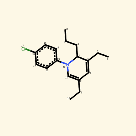 CCCC1C(CC)=CC(CC)=CN1c1ccc(Cl)cc1